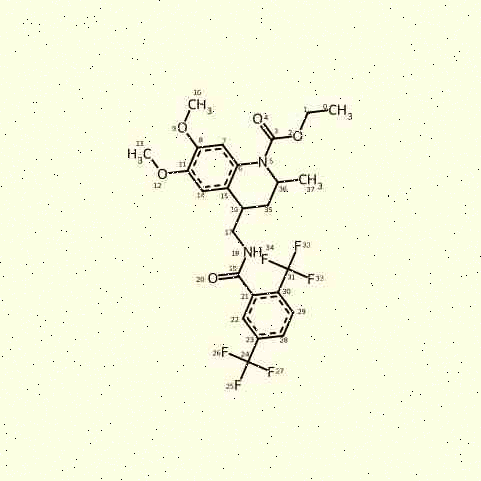 CCOC(=O)N1c2cc(OC)c(OC)cc2C(CNC(=O)c2cc(C(F)(F)F)ccc2C(F)(F)F)CC1C